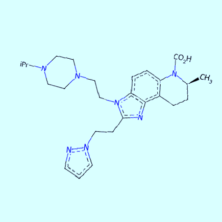 CC(C)N1CCN(CCn2c(CCn3cccn3)nc3c4c(ccc32)N(C(=O)O)[C@@H](C)CC4)CC1